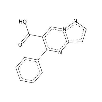 O=C(O)c1cn2nccc2nc1-c1ccccc1